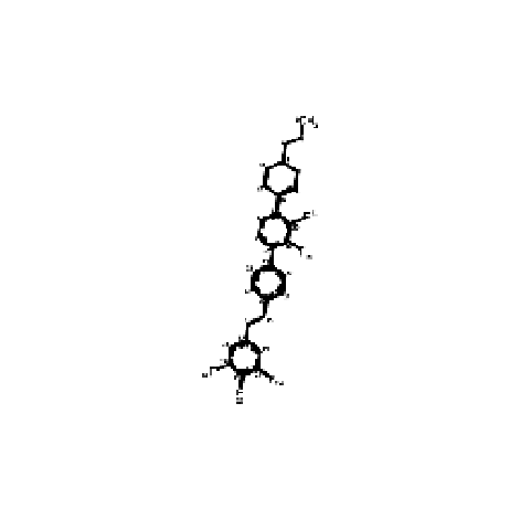 CCCC1CC=C(c2ccc(-c3ccc(CCc4cc(F)c(F)c(F)c4)cc3)c(F)c2F)CC1